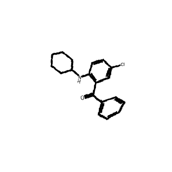 O=C(c1ccccc1)c1cc(Cl)ccc1NC1CCCCC1